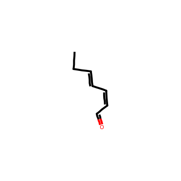 CC/C=C/C=C\C=O